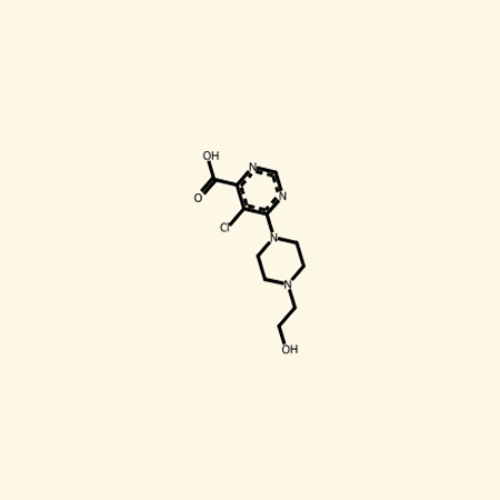 O=C(O)c1ncnc(N2CCN(CCO)CC2)c1Cl